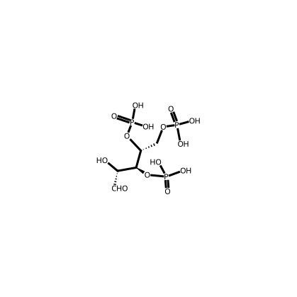 O=C[C@H](O)[C@H](OP(=O)(O)O)[C@@H](COP(=O)(O)O)OP(=O)(O)O